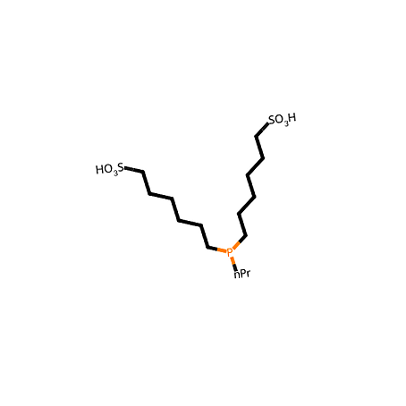 CCCP(CCCCCCS(=O)(=O)O)CCCCCCS(=O)(=O)O